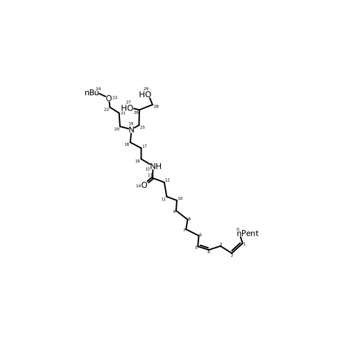 CCCCC/C=C\C/C=C\CCCCCCCC(=O)NCCCN(CCCOCCCC)CC(O)CO